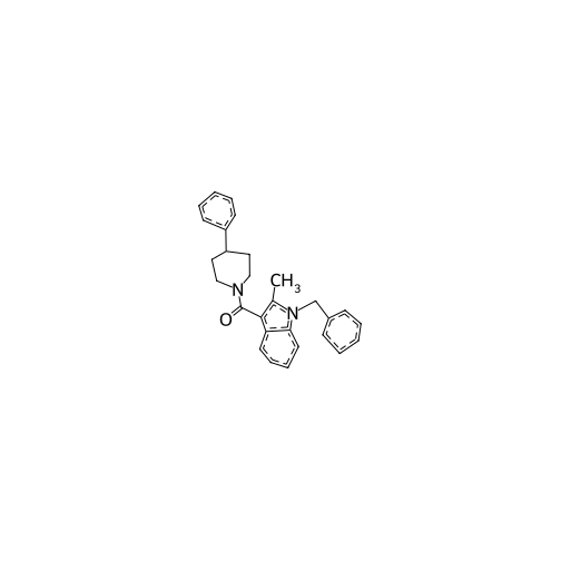 Cc1c(C(=O)N2CCC(c3ccccc3)CC2)c2ccccc2n1Cc1ccccc1